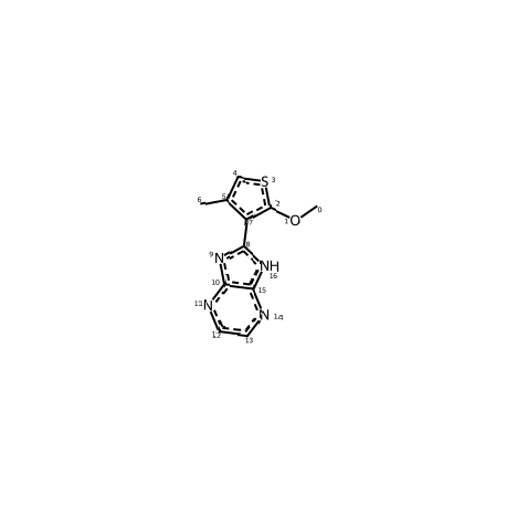 COc1scc(C)c1-c1nc2nccnc2[nH]1